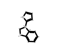 c1coc(N2CSc3ccccc32)c1